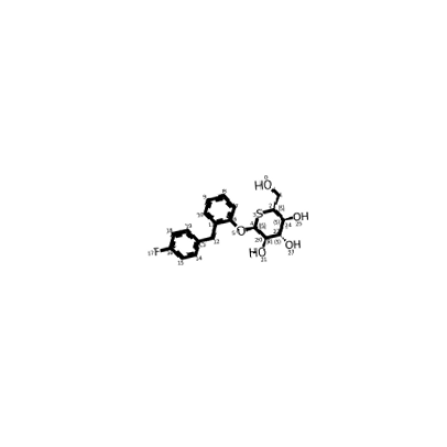 OC[C@@H]1S[C@H](Oc2ccccc2Cc2ccc(F)cc2)[C@H](O)[C@@H](O)[C@@H]1O